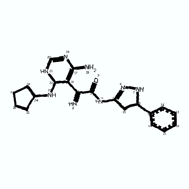 N=C(C(=O)NC1=NNC(c2ccccc2)C1)C1=C(N)N=CNC1NC1CCCC1